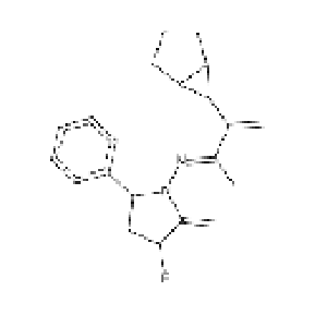 C=C(/C(C)=N/N1C(=C)C(F)CC1c1ccccc1)C1C2CCCC21